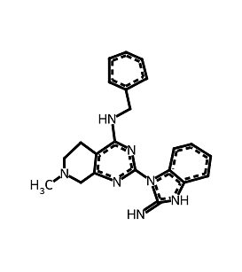 CN1CCc2c(nc(-n3c(=N)[nH]c4ccccc43)nc2NCc2ccccc2)C1